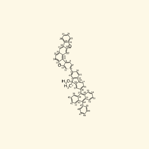 CC1(C)c2cc(-c3ccc4c(c3)oc3ccc5cc6c(cc5c34)oc3ccccc36)ccc2-c2ccc(-c3c4ccccc4c(-c4ccccc4)c4ccccc34)cc21